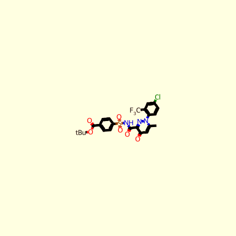 Cc1cc(=O)c(C(=O)NS(=O)(=O)c2ccc(C(=O)OC(C)(C)C)cc2)nn1-c1ccc(Cl)cc1C(F)(F)F